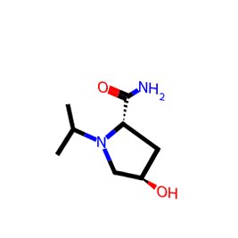 CC(C)N1C[C@H](O)C[C@H]1C(N)=O